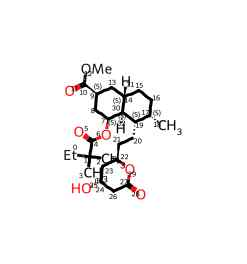 CCC(C)(C)C(=O)O[C@H]1C[C@@H](C(=O)OC)C[C@@H]2CC[C@H](C)[C@H](CC[C@@H]3C[C@@H](O)CC(=O)O3)[C@H]21